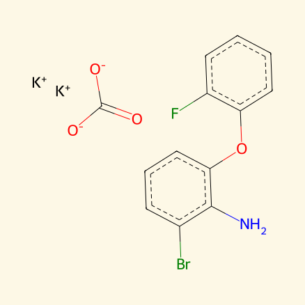 Nc1c(Br)cccc1Oc1ccccc1F.O=C([O-])[O-].[K+].[K+]